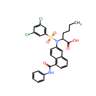 CCCCC(C(=O)O)N(c1ccc2c(C(=O)Nc3ccccc3)cccc2c1)S(=O)(=O)c1cc(Cl)cc(Cl)c1